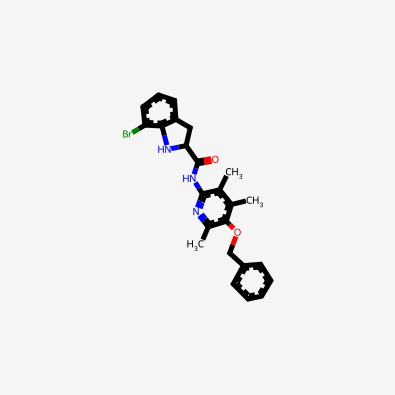 Cc1nc(NC(=O)C2Cc3cccc(Br)c3N2)c(C)c(C)c1OCc1ccccc1